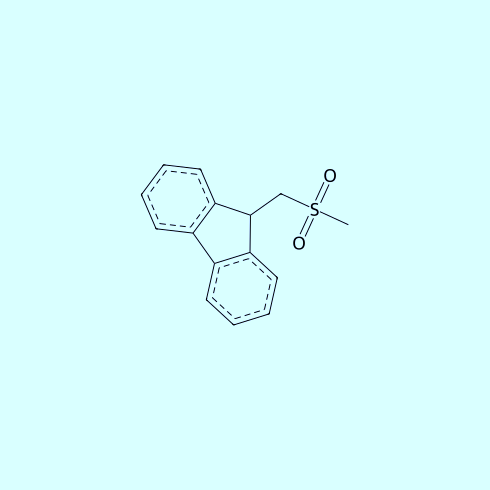 CS(=O)(=O)CC1c2ccccc2-c2ccccc21